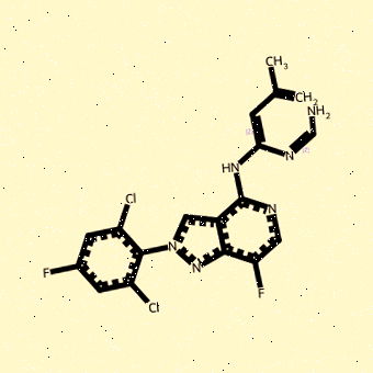 C=C(C)/C=C(\N=C/N)Nc1ncc(F)c2nn(-c3c(Cl)cc(F)cc3Cl)cc12